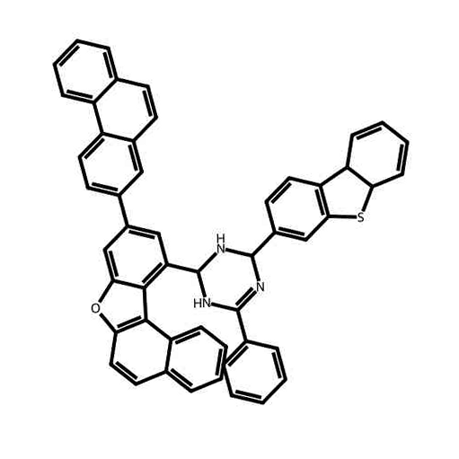 C1=CC2Sc3cc(C4N=C(c5ccccc5)NC(c5cc(-c6ccc7c(ccc8ccccc87)c6)cc6oc7ccc8ccccc8c7c56)N4)ccc3C2C=C1